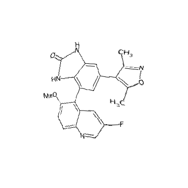 COc1ccc2ncc(F)cc2c1-c1cc(-c2c(C)noc2C)cc2[nH]c(=O)[nH]c12